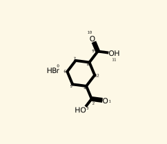 Br.O=C(O)C1CCCC(C(=O)O)C1